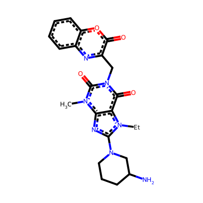 CCn1c(N2CCCC(N)C2)nc2c1c(=O)n(Cc1nc3ccccc3oc1=O)c(=O)n2C